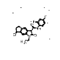 CCN1C(=O)C(C(=O)Nc2ccc(F)cc2F)c2cc3c(cc21)C(=O)CC3